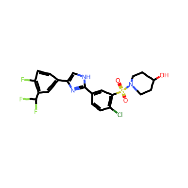 O=S(=O)(c1cc(-c2nc(-c3ccc(F)c(C(F)F)c3)c[nH]2)ccc1Cl)N1CCC(O)CC1